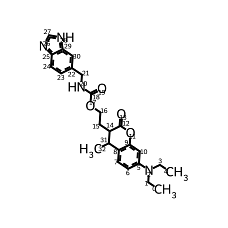 CCN(CC)c1ccc2c(c1)OC(=O)C(CCOC(=O)NCc1ccc3nc[nH]c3c1)C2C